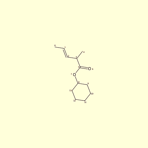 CC=CC(C)C(=O)OC1CCCCC1